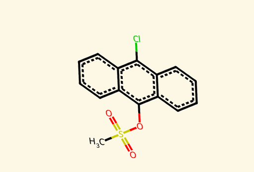 CS(=O)(=O)Oc1c2ccccc2c(Cl)c2ccccc12